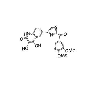 COc1ccc(C(=O)c2nc(-c3ccc4[nH]c(=O)c(O)c(O)c4c3)cs2)cc1OC